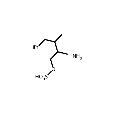 CC(C)CC(C)C(C)COS(=O)(=O)O.N